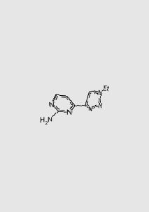 CCn1cc(-c2ccnc(N)n2)nn1